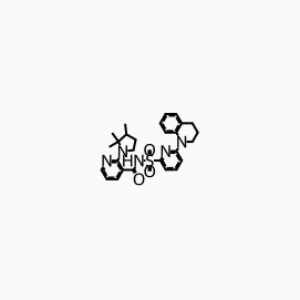 CC1CCN(c2ncccc2C(=O)NS(=O)(=O)c2cccc(N3CCCc4ccccc43)n2)C1(C)C